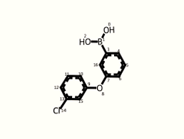 OB(O)c1cccc(Oc2cccc(Cl)c2)c1